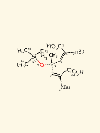 CCCCC(=C[Si](C)(C=C(CCCC)C(=O)O)O[Si](C)(C)C)C(=O)O